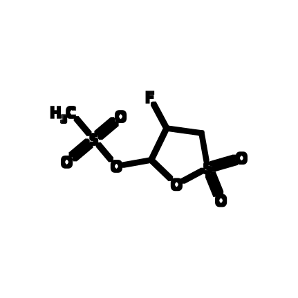 CS(=O)(=O)OC1OS(=O)(=O)CC1F